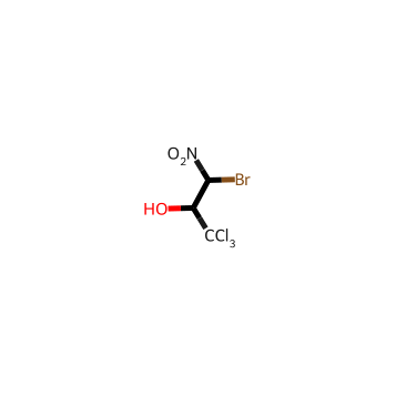 O=[N+]([O-])C(Br)C(O)C(Cl)(Cl)Cl